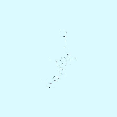 COC(=O)CCCCOCC(=O)NC(C(=O)N1C[C@H](O)C[C@H]1C(=O)N[C@@H](C)c1ccc(-c2scnc2C)cc1)C(C)(C)C